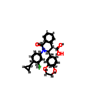 O=C(O)[C@H]1c2ccccc2C(=O)N(c2ccc(C3CC3)c(F)c2)[C@@H]1c1ccc2c(c1)OCCO2